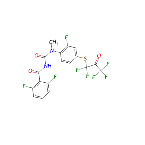 CN(C(=O)NC(=O)c1c(F)cccc1F)c1ccc(SC(F)(F)C(=O)C(F)(F)F)cc1F